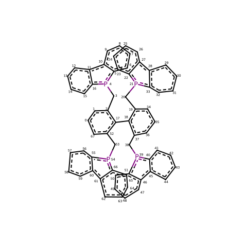 c1cc(Cp2c3ccccc3c3ccccc32)c(-c2c(Cp3c4ccccc4c4ccccc43)cccc2Cp2c3ccccc3c3ccccc32)c(Cp2c3ccccc3c3ccccc32)c1